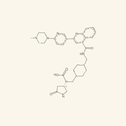 CN1CCN(c2ccc(-c3cc(C(=O)NCC4CCC(CN(C(=O)O)[C@@H]5CNC(=O)C5)CC4)c4ccccc4n3)cn2)CC1